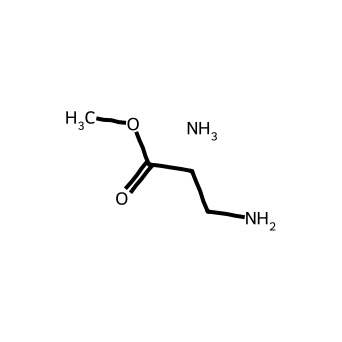 COC(=O)CCN.N